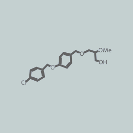 COC(CO)COCc1ccc(OCc2ccc(Cl)cc2)cc1